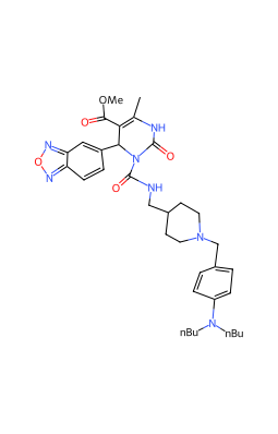 CCCCN(CCCC)c1ccc(CN2CCC(CNC(=O)N3C(=O)NC(C)=C(C(=O)OC)C3c3ccc4nonc4c3)CC2)cc1